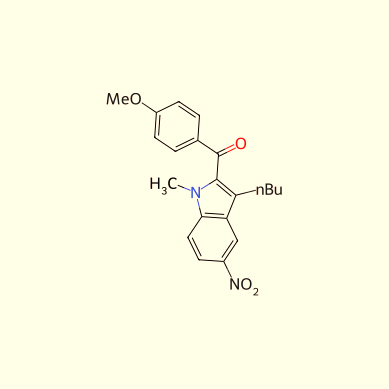 CCCCc1c(C(=O)c2ccc(OC)cc2)n(C)c2ccc([N+](=O)[O-])cc12